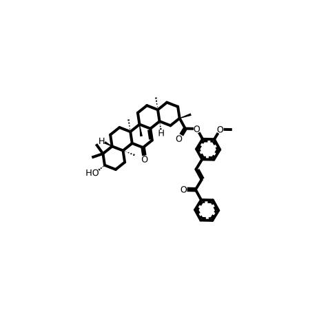 COc1ccc(/C=C/C(=O)c2ccccc2)cc1OC(=O)[C@@]1(C)CC[C@]2(C)CC[C@]3(C)C(=CC(=O)C4[C@@]5(C)CC[C@H](O)C(C)(C)[C@@H]5CC[C@]43C)[C@@H]2C1